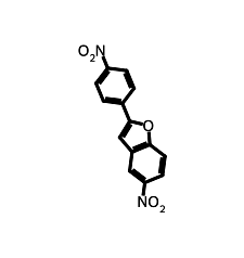 O=[N+]([O-])c1ccc(-c2cc3cc([N+](=O)[O-])ccc3o2)cc1